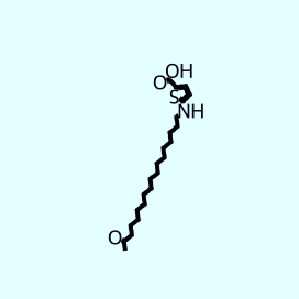 CC(=O)CCCCCCCCCCCCCCCCNc1ccc(C(=O)O)s1